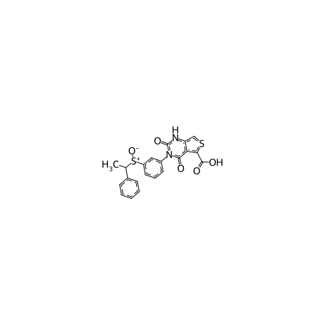 CC(c1ccccc1)[S+]([O-])c1cccc(-n2c(=O)[nH]c3csc(C(=O)O)c3c2=O)c1